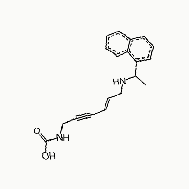 CC(NCC=CC#CCNC(=O)O)c1cccc2ccccc12